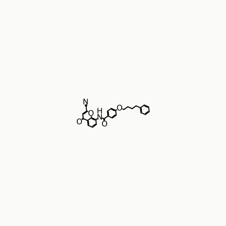 N#Cc1cc(=O)c2cccc(NC(=O)c3ccc(OCCCCc4ccccc4)cc3)c2o1